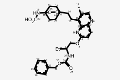 CCC(COc1ccc2ncc(F)c(CCC34CCC(NC(=O)O)(CC3)CO4)c2n1)NC(=O)OCc1ccccc1